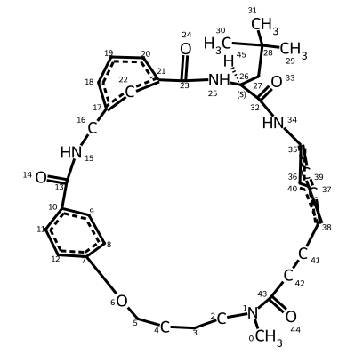 CN1CCCCOc2ccc(cc2)C(=O)NCc2cccc(c2)C(=O)N[C@@H](CC(C)(C)C)C(=O)Nc2ccc(cc2)CCC1=O